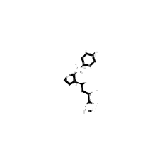 O=C(C=C(O)c1nn[nH]n1)c1ccoc1S(=O)(=O)c1ccc(Cl)cc1